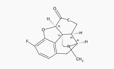 CN1CC[C@]23c4c5ccc(F)c4O[C@H]2C(=O)CC[C@H]3[C@H]1C5